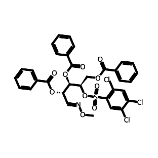 CON=C[C@H](OC(=O)c1ccccc1)[C@@H](OC(=O)c1ccccc1)[C@@H](COC(=O)c1ccccc1)OS(=O)(=O)c1cc(Cl)c(Cl)cc1Cl